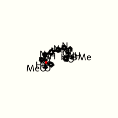 COC(=O)NC(C(=O)N1CCC[C@H]1c1ncc(-c2ccc(-c3ccc(-c4cnc([C@@H]5CCCN5C(=O)[C@H](NC(=O)OC)c5ccccc5)[nH]4)cn3)c(C)c2)[nH]1)c1ccccc1